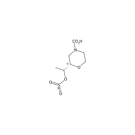 CC(O[SH](=O)=O)[C@@H]1CN(C(=O)O)CCO1